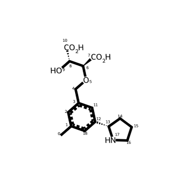 Cc1cc(CO[C@H](C(=O)O)[C@H](O)C(=O)O)cc([C@@H]2CCCN2)c1